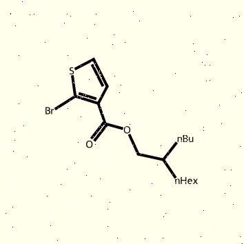 CCCCCCC(CCCC)COC(=O)c1ccsc1Br